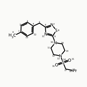 Cc1ccc(Cc2nsc(N3CCN(S(=O)(=O)CC(C)C)CC3)n2)cc1